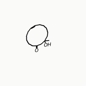 CC1(O)CCCCC/C=C\CCCCCC(=O)C1